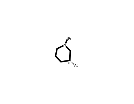 CC(=O)[C@@H]1CCCN(C(C)C)C1